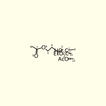 CC(=O)O.CCCCOC(C)=O.CCOC(C)=O.COC(C)=O